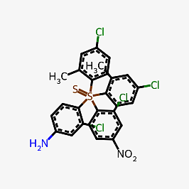 Cc1cc(Cl)ccc1S(=S)(c1ccc(Cl)cc1C)(c1ccc(N)cc1Cl)c1ccc([N+](=O)[O-])cc1Cl